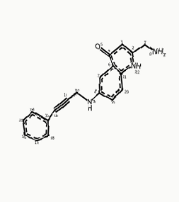 NCc1cc(=O)c2cc(NCC#Cc3ccccc3)ccc2[nH]1